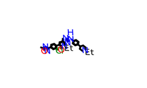 CCN1CCC(c2ccc(Nc3ncc4cc(-c5ccc(-c6noc(C)n6)cc5Cl)c(=O)n(CC)c4n3)cc2)CC1